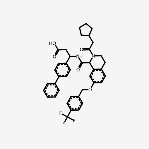 O=C(O)CC(NC(=O)C1c2cc(OCc3ccc(C(F)(F)F)cc3)ccc2CCN1C(=O)CC1CCCC1)c1ccc(-c2ccccc2)cc1